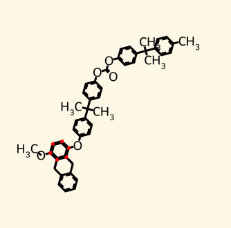 COc1ccc(Oc2ccc(C(C)(C)c3ccc(OC(=O)Oc4ccc(C(C)(C)c5ccc(C)cc5)cc4)cc3)cc2)c2c1C1c3ccccc3C2c2ccccc21